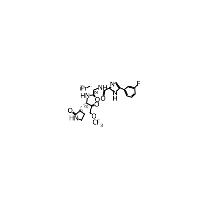 CC(C)C[C@H](NC(=O)c1ncc(-c2cccc(F)c2)[nH]1)C(=O)N[C@@H](C[C@@H]1CCNC1=O)C(=O)COC(F)(F)F